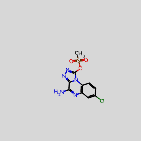 CS(=O)(=O)Oc1nnc2c(N)nc3cc(Cl)ccc3n12